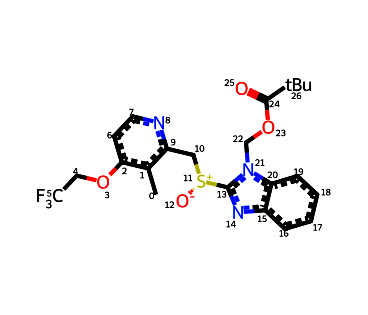 Cc1c(OCC(F)(F)F)ccnc1C[S@@+]([O-])c1nc2ccccc2n1COC(=O)C(C)(C)C